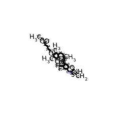 C=c1[nH]c(=O)/c(=C\c2ccc(OC[C@]3(C)CCc4c(C)c(OCCCCC(=O)OCC)c(C)c(C)c4O3)c(C(F)(F)F)c2)s1